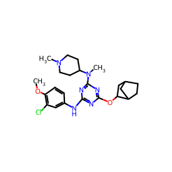 COc1ccc(Nc2nc(OC3CC4CCC3C4)nc(N(C)C3CCN(C)CC3)n2)cc1Cl